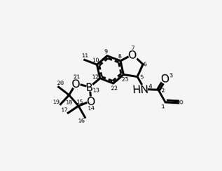 C=CC(=O)NC1COc2cc(C)c(B3OC(C)(C)C(C)(C)O3)cc21